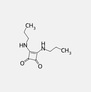 CCCNc1c(NCCC)c(=O)c1=O